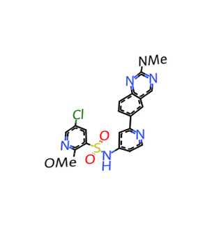 CNc1ncc2cc(-c3cc(NS(=O)(=O)c4cc(Cl)cnc4OC)ccn3)ccc2n1